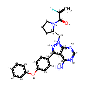 C=C(F)C(=O)N1CCC[C@H]1Cn1nc(-c2ccc(Oc3ccccc3)cc2)c2c(N)ncnc21